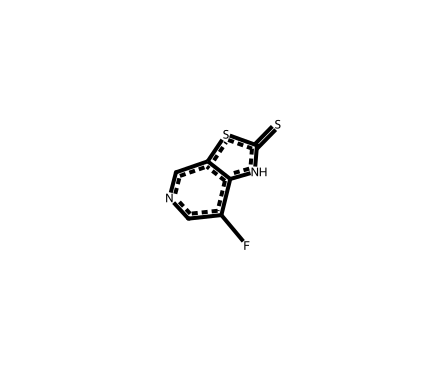 Fc1cncc2sc(=S)[nH]c12